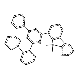 C[Si]1(C)c2ccccc2-c2cccc(-c3nc(-c4ccccc4)nc(-c4ccccc4-c4ccccc4)n3)c21